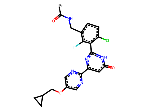 CC(C)C(=O)NCc1ccc(Cl)c(-c2nc(-c3ncc(OCC4CC4)cn3)cc(=O)[nH]2)c1F